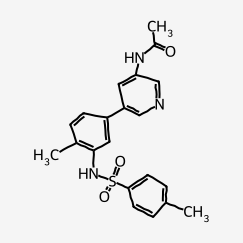 CC(=O)Nc1cncc(-c2ccc(C)c(NS(=O)(=O)c3ccc(C)cc3)c2)c1